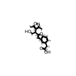 Cc1noc(C)c1C(CO)c1cc2cc(CC(=O)O)ccc2o1